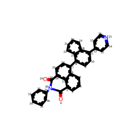 O=C1c2cccc3c(-c4ccc(-c5ccncc5)c5ccccc45)ccc(c23)C(=O)N1c1ccccc1